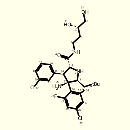 CC(C)(C)C[C@@H]1N[C@@H](C(=O)NCC[C@H](O)CO)[C@H](c2cccc(Cl)c2)[C@@]1(N)c1c(F)cc(Cl)cc1F